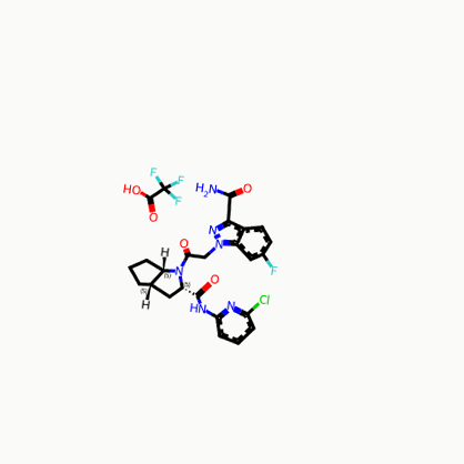 NC(=O)c1nn(CC(=O)N2[C@H](C(=O)Nc3cccc(Cl)n3)C[C@@H]3CCC[C@@H]32)c2cc(F)ccc12.O=C(O)C(F)(F)F